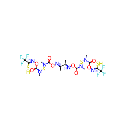 CC(=N\OC(=O)N(C)SN(C)C(=O)O/N=C(\S)C(F)(F)F)/C(C)=N/OC(=O)N(C)SN(C)C(=O)O/N=C(\S)C(F)(F)F